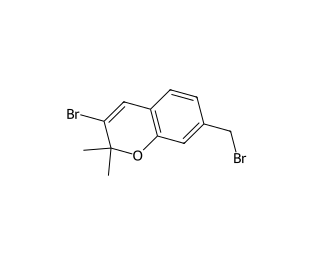 CC1(C)Oc2cc(CBr)ccc2C=C1Br